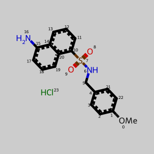 COc1ccc(CNS(=O)(=O)c2cccc3c(N)cccc23)cc1.Cl